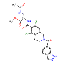 COC(=O)[C@H](CNC(C)=O)NC(=O)c1c(Cl)cc2c(c1Cl)CCN(C(=O)c1ccc3cn[nH]c3c1)C2